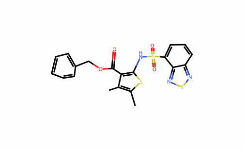 Cc1sc(NS(=O)(=O)c2cccc3nsnc23)c(C(=O)OCc2ccccc2)c1C